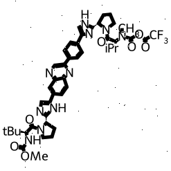 COC(=O)N[C@H](C(=O)N1CCC[C@H]1c1ncc(-c2ccc3nc(-c4ccc(-c5c[nH]c([C@@H]6CCCN6C(=O)[C@H](C(C)C)N(C)C(=O)OC(=O)C(F)(F)F)n5)cc4)cnc3c2)[nH]1)C(C)(C)C